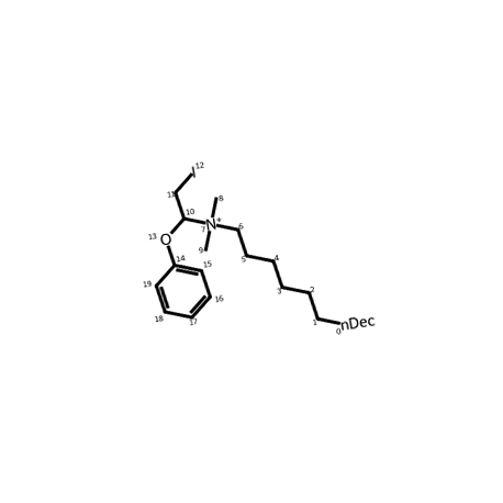 CCCCCCCCCCCCCCCC[N+](C)(C)C(CI)Oc1ccccc1